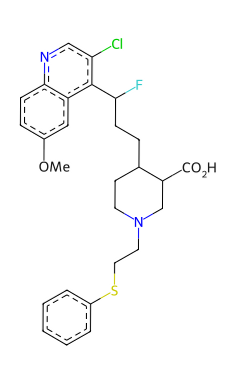 COc1ccc2ncc(Cl)c(C(F)CCC3CCN(CCSc4ccccc4)CC3C(=O)O)c2c1